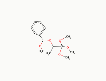 COC(OC(C)[Si](OC)(OC)OC)c1ccccc1